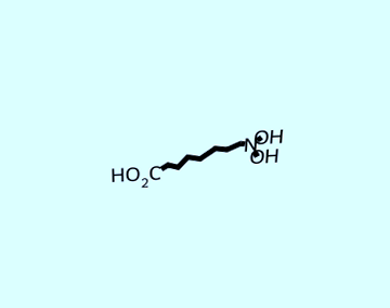 O=C(O)CCCCCCCN(O)O